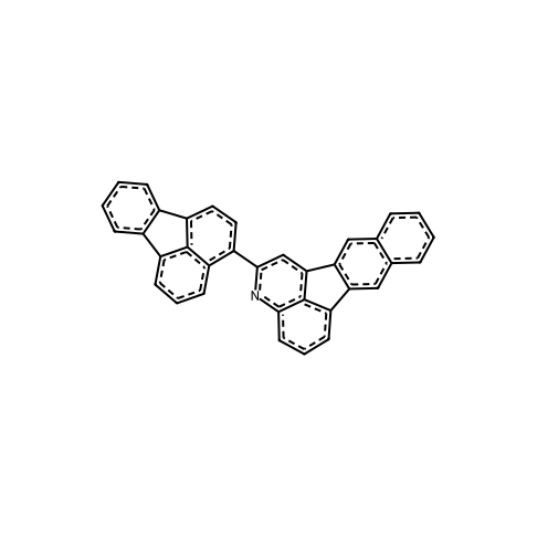 c1ccc2c(c1)-c1cccc3c(-c4cc5c6c(cccc6n4)-c4cc6ccccc6cc4-5)ccc-2c13